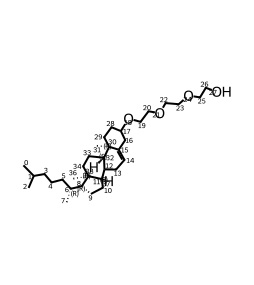 CC(C)CCC[C@@H](C)[C@H]1CC[C@H]2C3CC=C4CC(OCCOCCOCCO)CC[C@]4(C)[C@H]3CC[C@]12C